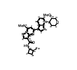 CNc1cc(-c2cnc3n([C@@H]4CCOC[C@H]4OC)cccc2-3)nc2c(C(=O)N[C@@H]3CC[C@@H]3F)cnn12